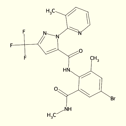 CNC(=O)c1cc(Br)cc(C)c1NC(=O)c1cc(C(F)(F)F)nn1-c1ncccc1C